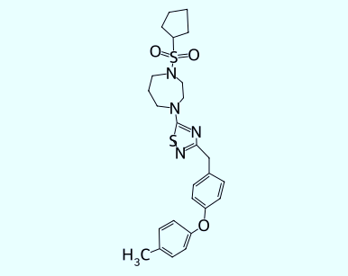 Cc1ccc(Oc2ccc(Cc3nsc(N4CCCN(S(=O)(=O)C5CCCC5)CC4)n3)cc2)cc1